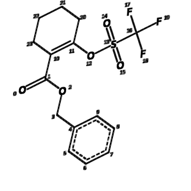 O=C(OCc1ccccc1)C1=C(OS(=O)(=O)C(F)(F)F)CCCC1